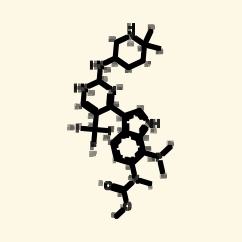 COC(=O)N(C)c1ccc2c(C3=NC(NC4CCC(C)(C)NC4)NC=C3C(F)(F)F)c[nH]c2c1P(C)C